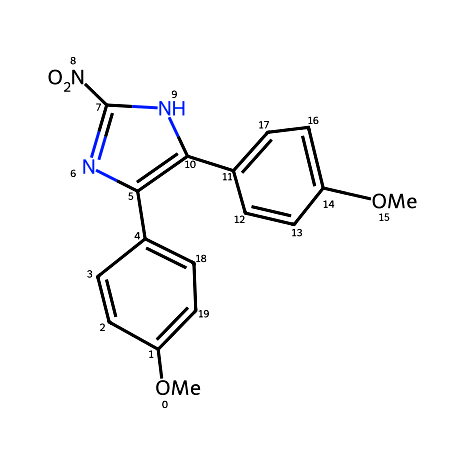 COc1ccc(-c2nc([N+](=O)[O-])[nH]c2-c2ccc(OC)cc2)cc1